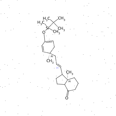 CC(C)(C)[Si](C)(C)OC1=CC[C@@](C)(C/C=C/C2CCC3C(=O)CCC[C@]23C)C=C1